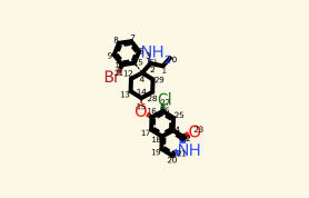 CC[C@H](N)[C@]1(c2ccccc2Br)CC[C@@H](Oc2cc3cc[nH]c(=O)c3cc2Cl)CC1